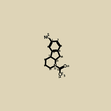 N#Cc1ccc2c(c1)C1CCCN(C(=O)C(F)(F)F)C1C2